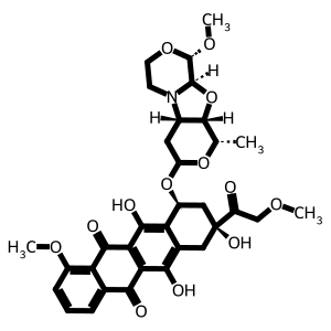 COCC(=O)[C@]1(O)Cc2c(O)c3c(c(O)c2[C@@H](OC2C[C@H]4[C@H](O[C@@H]5[C@@H](OC)OCCN54)[C@H](C)O2)C1)C(=O)c1c(OC)cccc1C3=O